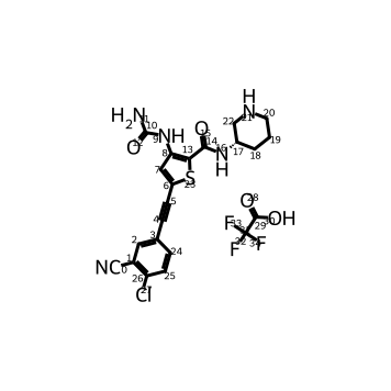 N#Cc1cc(C#Cc2cc(NC(N)=O)c(C(=O)N[C@H]3CCCNC3)s2)ccc1Cl.O=C(O)C(F)(F)F